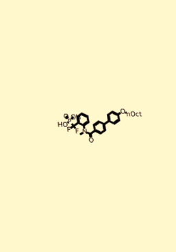 CCCCCCCCOc1ccc(-c2ccc(C(=O)N(C)c3ccccc3C(F)(F)P(=O)(O)O)cc2)cc1